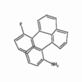 Nc1ccccc1-c1cccc2cccc(-c3ccccc3F)c12